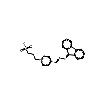 O=S(=O)([O-])CCC[n+]1ccc(/C=N/N=C2c3ccccc3-c3ccccc32)cc1